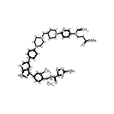 C=CN(CCC(=O)NC)c1ccc(N2CCC(CN3CCN(c4ccc(-c5cnc6[nH]nc(-c7ccc([C@@H](C)NC(=O)c8noc(C(C)(C)C)n8)c(C)c7)c6c5)cc4)CC3)CC2)nc1